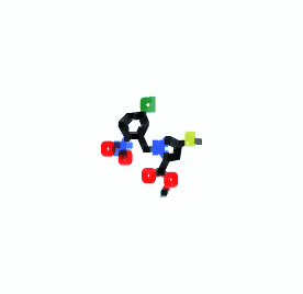 COC(=O)c1cc(SC)cn1Cc1cc(Cl)ccc1[N+](=O)[O-]